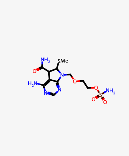 CSC1C(C(N)=O)c2c(N)ncnc2N1COCCOS(N)(=O)=O